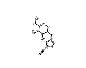 N#Cc1cnn(C[C@@H]2CO[C@H](CO)[C@H](O)[C@@H]2O)c1